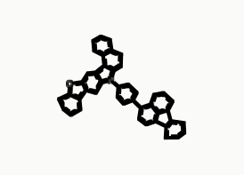 c1ccc2c(c1)-c1cccc3c(-c4ccc(-n5c6cc7c(cc6c6c8ccccc8ccc65)oc5ccccc57)cc4)ccc-2c13